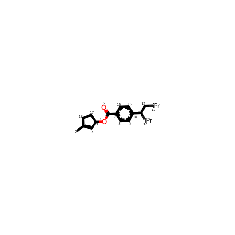 CC1=CC(OC(=O)c2ccc(C(CC(C)C)C(C)C)cc2)CC1